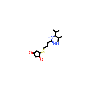 CC(C)C(NC(=N)CCCSC1CC(=O)CC1=O)C(C)C